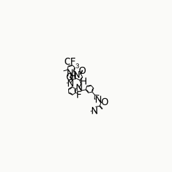 C=C(CN(C)C)C(=O)N1CC(c2cccc(CN3C[C@H]4CC(=O)N(c5cc(C(F)(F)F)cc(C)n5)[C@@H]4C(=O)N(C)c4cccc(F)c43)c2)C1